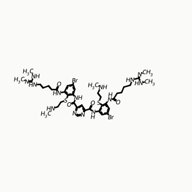 C/N=C(\NC)NCCCCC(=O)Nc1cc(Br)cc(NC(=O)c2cc(C(=O)Nc3cc(Br)cc(NC(=O)CCCCN/C(=N/C)NC)c3SCCNC)ncn2)c1SCCNC